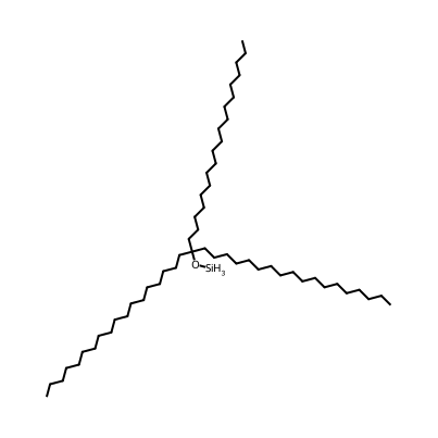 CCCCCCCCCCCCCCCCCCCC(CCCCCCCCCCCCCCCCCC)(CCCCCCCCCCCCCCCCCC)O[SiH3]